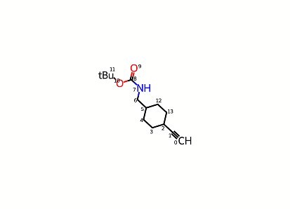 C#CC1CCC(CNC(=O)OC(C)(C)C)CC1